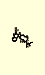 CCC(C)NC(=S)NCCn1c(CCOC)nc2c(N)nc3ccccc3c21